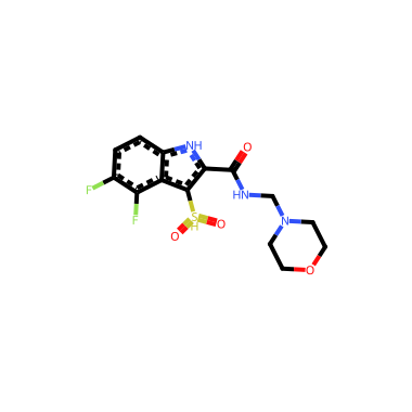 O=C(NCN1CCOCC1)c1[nH]c2ccc(F)c(F)c2c1[SH](=O)=O